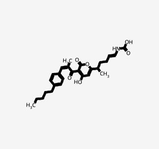 CCCCCc1ccc(C=C(C)C(=O)c2c(O)cc(C(C)CCC=CNC(=O)O)oc2=O)cc1